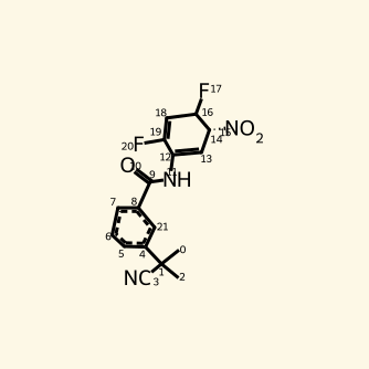 CC(C)(C#N)c1cccc(C(=O)NC2=C[C@@H]([N+](=O)[O-])C(F)C=C2F)c1